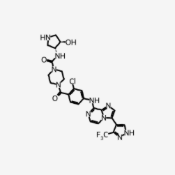 O=C(N[C@@H]1CNC[C@H]1O)N1CCN(C(=O)c2ccc(Nc3nccn4c(-c5c[nH]nc5C(F)(F)F)cnc34)cc2Cl)CC1